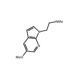 CNCCn1ccc2cc(OC)cnc21